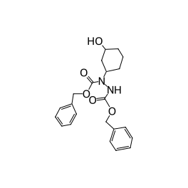 O=C(NN(C(=O)OCc1ccccc1)C1CCCC(O)C1)OCc1ccccc1